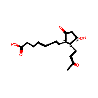 CC(=O)CC[C@@H]1[C@@H](O)CC(=O)[C@@H]1CCCCCCC(=O)O